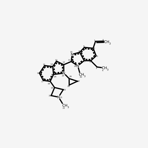 C=Cc1cc(CC)c2c(c1)nc(-c1cc3cccc(C4CN(C)C4)c3n1C1CC1)n2C